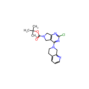 CC(C)(C)OC(=O)N1Cc2nc(Cl)nc(N3CCc4cccnc4C3)c2C1